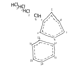 Cl.Cl.Cl.Cl.c1ccccc1.c1ccccc1